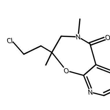 CN1CC(C)(CCCl)Oc2ncccc2C1=O